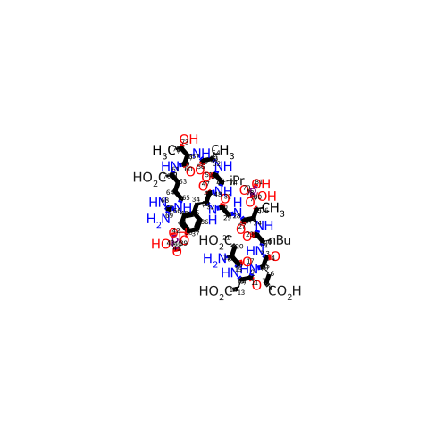 CCCC[C@H](NC(=O)[C@H](CCC(=O)O)NC(=O)[C@H](CC(=O)O)NC(=O)[C@@H](N)CC(=O)O)C(=O)N[C@H](C(=O)NCC(=O)N[C@@H](Cc1ccc(OP(=O)(O)O)cc1)C(=O)N[C@H](C(=O)N[C@@H](C)C(=O)N[C@H](C(=O)N[C@@H](CCCNC(=N)N)C(=O)O)[C@@H](C)O)C(C)C)[C@@H](C)OP(=O)(O)O